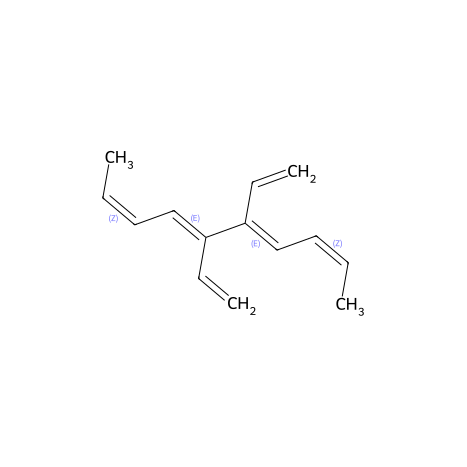 C=CC(=C\C=C/C)/C(C=C)=C/C=C\C